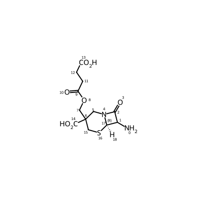 NC1C(=O)N2CC(COC(=O)CCC(=O)O)(C(=O)O)CS[C@H]12